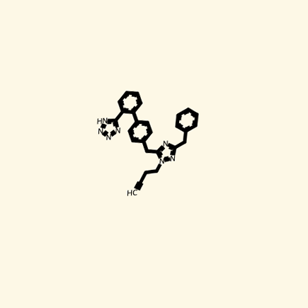 C#CCCn1nc(Cc2ccccc2)nc1Cc1ccc(-c2ccccc2-c2nnn[nH]2)cc1